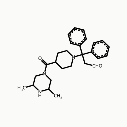 CC1CN(C(=O)C2CCN(C(CC=O)(c3ccccc3)c3ccccc3)CC2)CC(C)N1